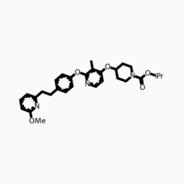 COc1cccc(CCc2ccc(Oc3nccc(OC4CCN(C(=O)OC(C)C)CC4)c3C)cc2)n1